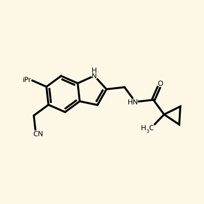 CC(C)c1cc2[nH]c(CNC(=O)C3(C)CC3)cc2cc1CC#N